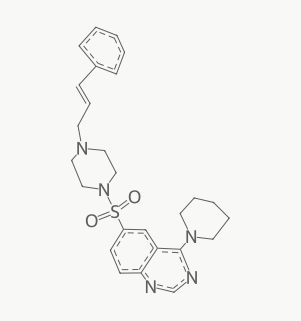 O=S(=O)(c1ccc2ncnc(N3CCCCC3)c2c1)N1CCN(CC=Cc2ccccc2)CC1